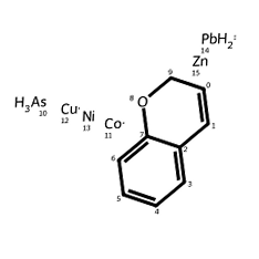 C1=Cc2ccccc2OC1.[AsH3].[Co].[Cu].[Ni].[PbH2].[Zn]